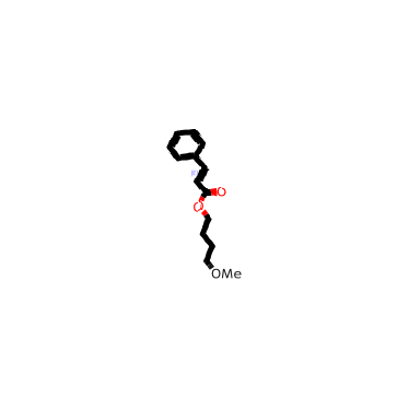 COCCCCOC(=O)/C=C/c1ccccc1